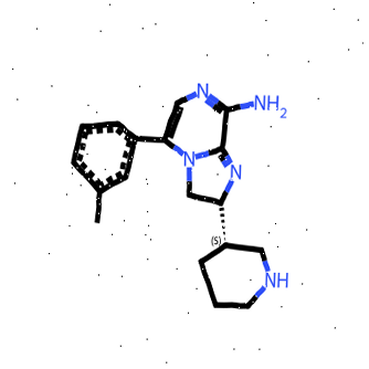 Cc1cccc(C2=CN=C(N)C3=NC([C@H]4CCCNC4)CN23)c1